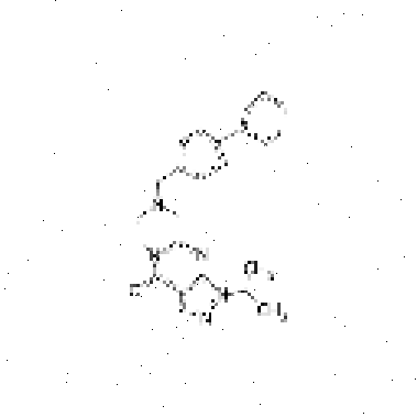 CC(C)n1ncc2c(=O)n3c(nc21)CN(Cc1ccc(-c2ccccc2)cc1)CC3